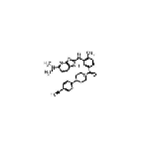 C#Cc1ccc(C2CCN(C(=O)c3ccc(C)c(Nc4nc5nc(N(C)C)ccc5[nH]4)c3)CC2)cc1